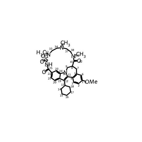 COc1ccc2c(c1)CC1Cn3c-2c(C2CCCCC2)c2ccc(cc23)C(=O)NS(=O)(=O)N(C)CCN(C)CCN(C)C1=O